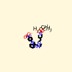 CC(C)(C)OC(=O)N1CCC(CCN2C=CNC2c2cn(-c3ccc([N+](=O)[O-])cc3)c3ccccc23)CC1